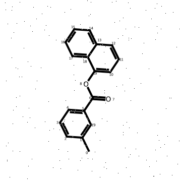 Cc1cccc(C(=O)Oc2cccc3ccccc23)c1